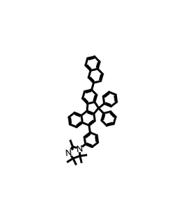 CC1=NC(C)(C)C(C)(C)N1c1cccc(-c2cc3c(c4ccccc24)-c2ccc(-c4ccc5ccccc5c4)cc2C3(c2ccccc2)c2ccccc2)c1